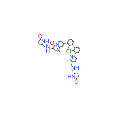 Cc1nc(-c2cccc(-c3cccc(-c4ccn5c(=O)c(CNC[C@H]6CCC(=O)N6)cnc5c4)c3C)c2Cl)ccc1CNC[C@@H]1CCC(=O)N1